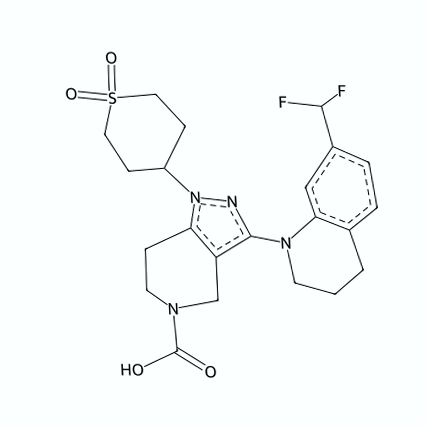 O=C(O)N1CCc2c(c(N3CCCc4ccc(C(F)F)cc43)nn2C2CCS(=O)(=O)CC2)C1